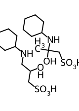 CC(O)(CS(=O)(=O)O)NC1CCCCC1.O=S(=O)(O)CC(O)CNC1CCCCC1